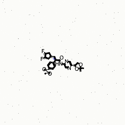 CC1(C)OC[C@H](c2cnc(NC(=O)/C(=C/[C@H]3C[C@@H](F)[C@@H](F)C3)c3ccc(S(C)(=O)=O)cc3)cn2)O1